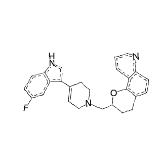 Fc1ccc2[nH]cc(C3=CCN(CC4CCc5ccc6ncccc6c5O4)CC3)c2c1